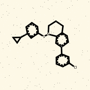 Clc1cccc(-c2ccc3c(c2)N(Sc2cccc(C4CC4)c2)CCC3)c1